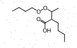 CCCCOOC(C)C(CCCC)C(=O)O